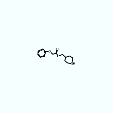 O=C(COc1ccccc1)OCC1CCNCC1